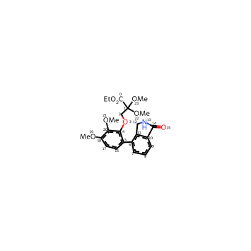 CCOC(=O)C(COc1c(-c2cccc3c2CNC3=O)ccc(OC)c1OC)(OC)OC